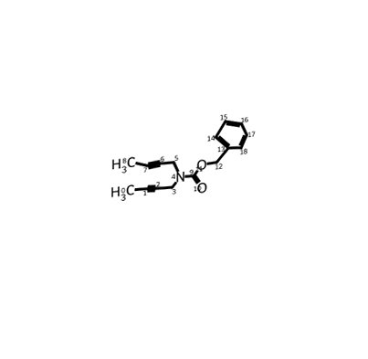 CC#CCN(CC#CC)C(=O)OCc1ccccc1